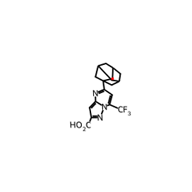 O=C(O)c1cc2nc(C34CC5CC(CC(C5)C3)C4)cc(C(F)(F)F)n2n1